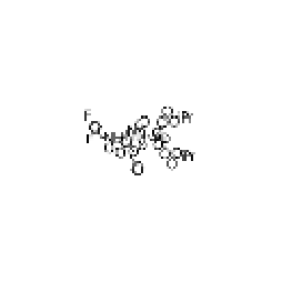 CC(C)OC(=O)OCOP(=O)(CCN1C(=O)c2c(OCc3ccccc3)c(=O)c(C(=O)NCc3ccc(F)cc3F)cn2N(C)C12CCOC2)OCOC(=O)OC(C)C